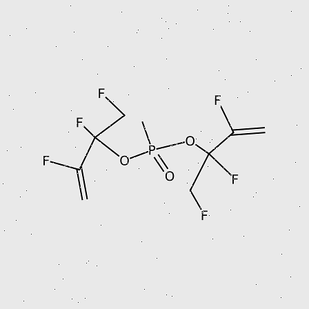 C=C(F)C(F)(CF)OP(C)(=O)OC(F)(CF)C(=C)F